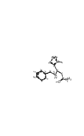 Cn1nnnc1C(CC(N)=O)NCc1ccccc1